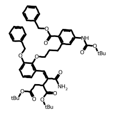 CC(C)(C)OC(=O)CC(C(=O)OC(C)(C)C)/C(=C\c1cccc(OCc2ccccc2)c1OCCCc1cc(NC(=O)OC(C)(C)C)ccc1C(=O)OCc1ccccc1)C(N)=O